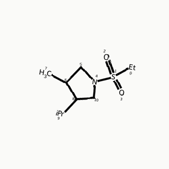 CCS(=O)(=O)N1CC(C)C(C(C)C)C1